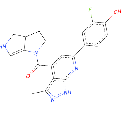 Cc1n[nH]c2nc(-c3ccc(O)c(F)c3)cc(C(=O)N3CCC4CNC=C43)c12